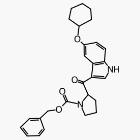 O=C(c1c[nH]c2ccc(OC3CCCCC3)cc12)C1CCCN1C(=O)OCc1ccccc1